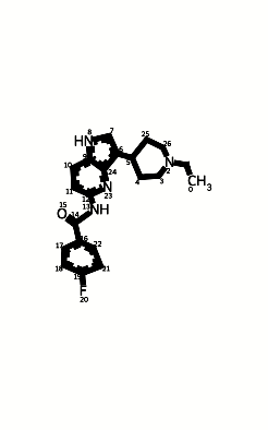 CCN1CCC(c2c[nH]c3ccc(NC(=O)c4ccc(F)cc4)nc23)CC1